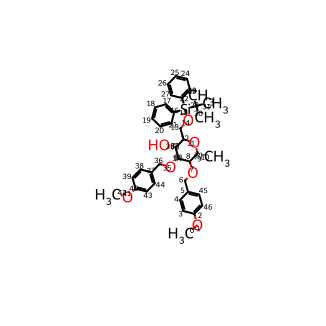 COc1ccc(COC2[C@@H](C)OC(CO[Si](c3ccccc3)(c3ccccc3)C(C)(C)C)[C@@H](O)[C@H]2OCc2ccc(OC)cc2)cc1